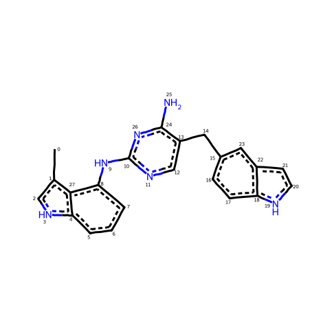 Cc1c[nH]c2cccc(Nc3ncc(Cc4ccc5[nH]ccc5c4)c(N)n3)c12